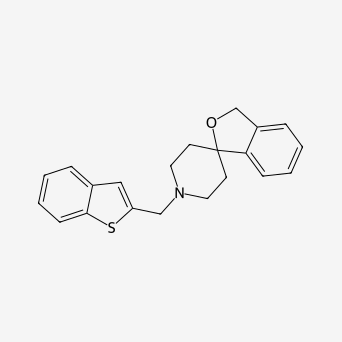 c1ccc2c(c1)COC21CCN(Cc2cc3ccccc3s2)CC1